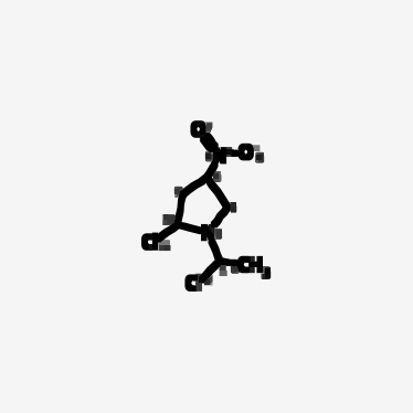 CC(Cl)N1CC([N+](=O)[O-])CC1Cl